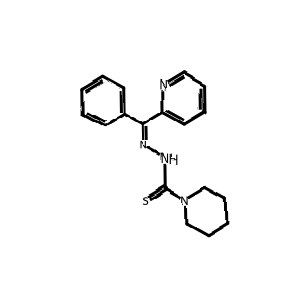 S=C(N/N=C(/c1ccccc1)c1ccccn1)N1CCCCC1